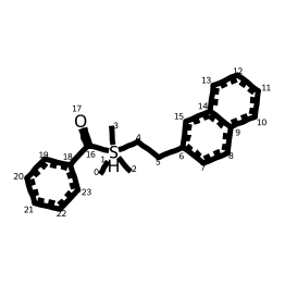 C[SH](C)(C)(CCc1ccc2ccccc2c1)C(=O)c1ccccc1